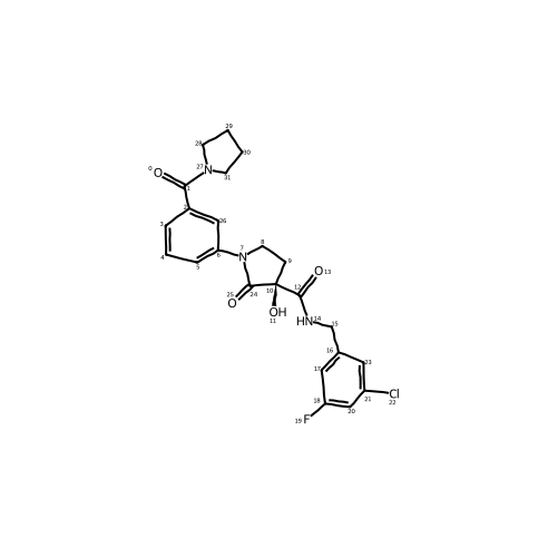 O=C(c1cccc(N2CC[C@](O)(C(=O)NCc3cc(F)cc(Cl)c3)C2=O)c1)N1CCCC1